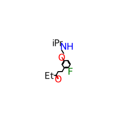 CCC(=O)CCc1cc(OCCNC(C)C)ccc1F